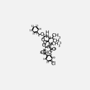 CC(C)[C@H](NC(=O)OCc1ccccc1)C(=O)N(C)N(C(=O)O)C(=O)[C@H]1O[C@@H]1c1ccc(Cl)cc1